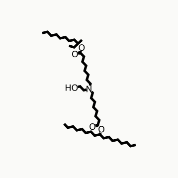 CCCCCCCCC(CCCCCCCC)OC(=O)CCCCCCCN(CCO)CCCCCCCC(=O)OC(C)(CC)CCCCCCCC